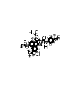 CCOC(=O)C1(c2ccc(OC(F)F)cc2)CN(C(=O)Nc2ccc(C(F)(F)F)cc2)N=C1c1ccc(C(F)(F)F)c(Cl)c1